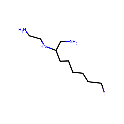 NCCNC(CN)CCCCCCI